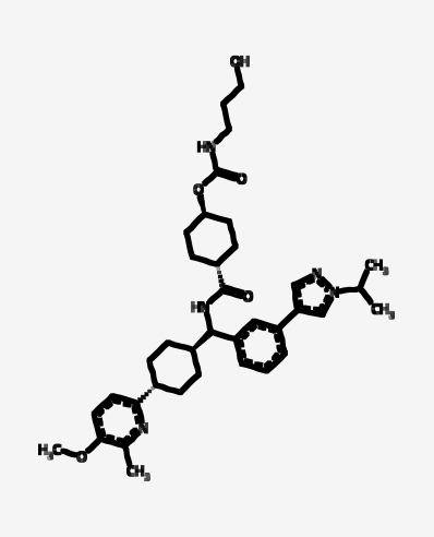 COc1ccc([C@H]2CC[C@H](C(NC(=O)[C@H]3CC[C@H](OC(=O)NCCCO)CC3)c3cccc(-c4cnn(C(C)C)c4)c3)CC2)nc1C